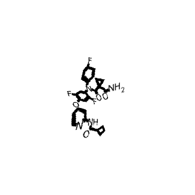 NC(=O)C1(C(=O)N(c2ccc(F)cc2)c2cc(F)c(Oc3ccnc(NC(=O)C4CCC4)c3)cc2F)CC1